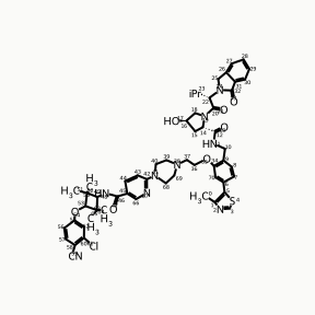 Cc1ncsc1-c1ccc(CNC(=O)[C@@H]2C[C@@H](O)CN2C(=O)[C@H](C(C)C)N2Cc3ccccc3C2=O)c(OCCN2CCN(c3ccc(C(=O)NC4C(C)(C)C(Oc5ccc(C#N)c(Cl)c5)C4(C)C)cn3)CC2)c1